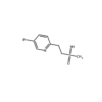 CC(C)c1ccc(CCS(C)(=N)=O)nc1